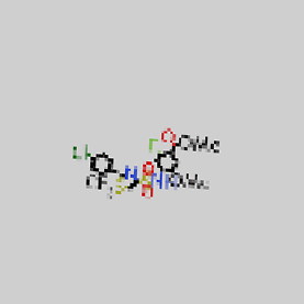 COC(=O)c1cc(OC)c(NS(=O)(=O)c2csc(-c3ccc(Cl)cc3C(F)(F)F)n2)cc1F